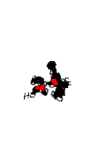 CCOC(=O)C(C)(Cc1ccc(O)cc1)Oc1ccc2c(c1)OCO2.CCOC(=O)C(C)(Oc1ccc2c(c1)OCO2)C(OC(=O)C(F)(F)F)c1ccc(OCc2ccccc2)cc1